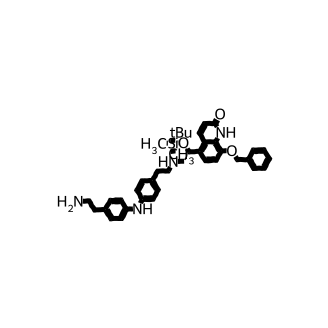 CC(C)(C)[Si](C)(C)O[C@@H](CNCCc1ccc(Nc2ccc(CCN)cc2)cc1)c1ccc(OCc2ccccc2)c2[nH]c(=O)ccc12